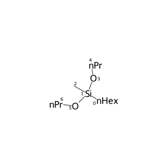 CCCCCC[Si](C)(OCCC)OCCC